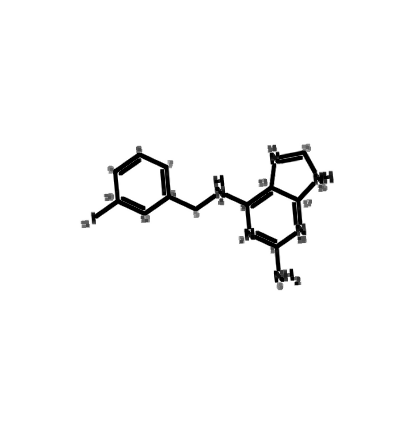 Nc1nc(NCc2cccc(I)c2)c2nc[nH]c2n1